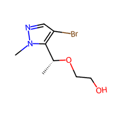 C[C@@H](OCCO)c1c(Br)cnn1C